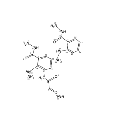 CC(=O)C=O.NNC(=O)c1ccccc1NN.NNC(=O)c1ccccc1NN.[NaH]